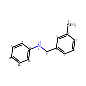 [AsH2]c1cccc(CNc2[c]cccc2)c1